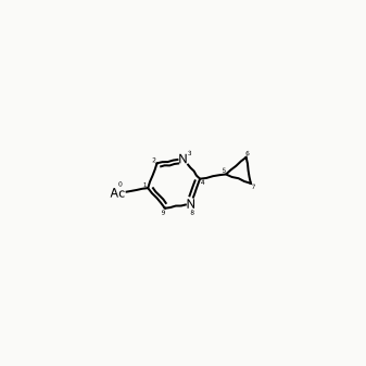 CC(=O)c1cnc(C2CC2)nc1